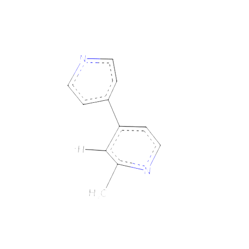 [2H]c1c(-c2ccncc2)ccnc1C